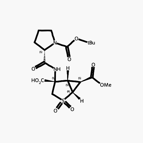 COC(=O)[C@@H]1[C@@H]2[C@H]1S(=O)(=O)C[C@@]2(NC(=O)[C@@H]1CCCN1C(=O)OC(C)(C)C)C(=O)O